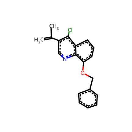 C=C(C)c1cnc2c(OCc3ccccc3)cccc2c1Cl